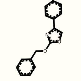 c1ccc(COc2nc(-c3ccccc3)co2)cc1